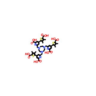 Cc1c(C(=O)O)sc(-c2cc(CN3CCN(Cc4cc(-c5sc(C(=O)O)c(C)c5C)cc(C(=O)O)n4)CCN(Cc4cc(-c5sc(C(=O)O)c(C)c5C)cc(C(=O)O)n4)CC3)nc(C(=O)O)c2)c1C